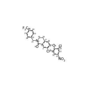 O=C1c2ccc(Oc3c(Cl)cc([N+](=O)[O-])cc3Cl)cc2CCN1Cc1ccc(C(F)(F)F)cc1